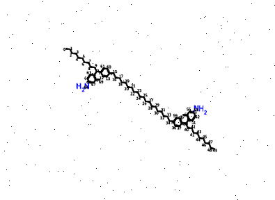 CCCCCCCCCCC(c1ccc(CCCCCCCCCCCCCCCCCCCCc2ccc(C(CCCCCCCCCC)c3ccc(N)cc3C)cc2)cc1)c1ccc(N)cc1C